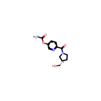 NC(=O)Oc1ccc(C(=O)N2CC[C@H](CO)C2)nc1